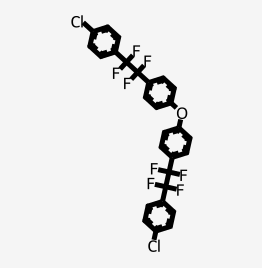 FC(F)(c1ccc(Cl)cc1)C(F)(F)c1ccc(Oc2ccc(C(F)(F)C(F)(F)c3ccc(Cl)cc3)cc2)cc1